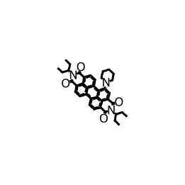 CCC(CC)N1C(=O)c2ccc3c4ccc5c6c(cc(N7CCCCC7)c(c7ccc(c2c37)C1=O)c64)C(=O)N(C(CC)CC)C5=O